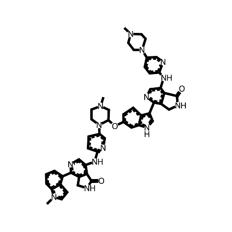 CN1CCN(c2ccc(Nc3cnc(-c4c[nH]c5cc(OC6CN(C)CCN6c6ccc(Nc7cnc(-c8cccc9c8ccn9C)c8c7C(=O)NC8)nc6)ccc45)c4c3C(=O)NC4)nc2)CC1